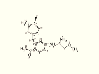 COCC(N)CNc1ncc(C(N)=O)c(Nc2ccc(F)c(C)c2)n1